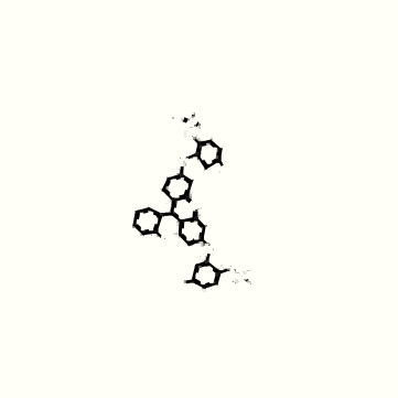 CS(=O)(=O)Nc1ccc(C(=O)O)cc1Nc1ccc2c(-c3ccccc3C(=O)O)c3ccc(Nc4cc(C(=O)O)ccc4NS(C)(=O)=O)cc3[o+]c2c1